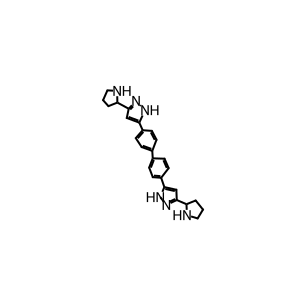 c1cc(-c2cc(C3CCCN3)n[nH]2)ccc1-c1ccc(-c2cc(C3CCCN3)n[nH]2)cc1